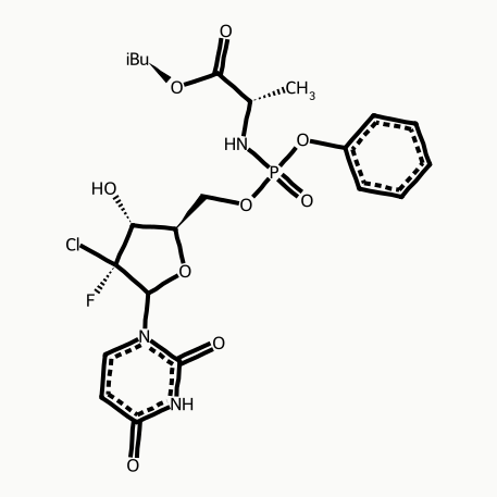 CC[C@H](C)OC(=O)[C@H](C)NP(=O)(OC[C@H]1OC(n2ccc(=O)[nH]c2=O)[C@@](F)(Cl)[C@@H]1O)Oc1ccccc1